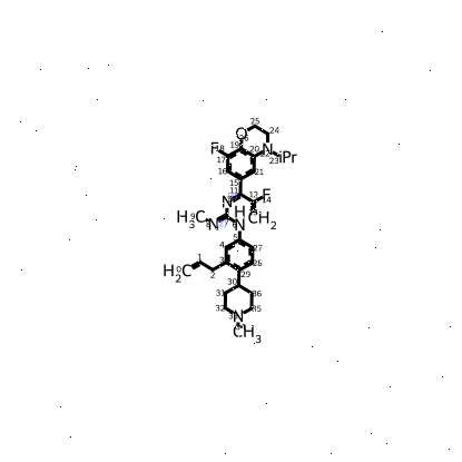 C=CCc1cc(NC(=N/C)/N=C(\C(=C)F)c2cc(F)c3c(c2)N(C(C)C)CCO3)ccc1C1CCN(C)CC1